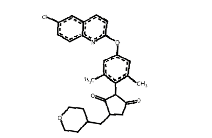 Cc1cc(Oc2ccc3cc(Cl)ccc3n2)cc(C)c1C1C(=O)CC(CC2CCOCC2)C1=O